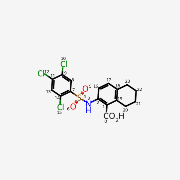 O=C(O)c1c(NS(=O)(=O)c2cc(Cl)c(Cl)cc2Cl)ccc2c1CCCC2